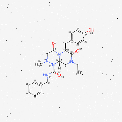 CC(C)CN1C[C@H]2N(C(=O)CN(C)N2C(=O)NCc2ccccc2)[C@@H](Cc2ccc(O)cc2)C1=O